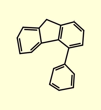 [c]1ccc(-c2ccccc2)c2c1Cc1ccccc1-2